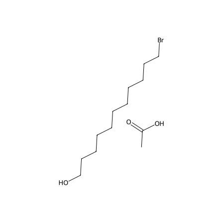 CC(=O)O.OCCCCCCCCCCCBr